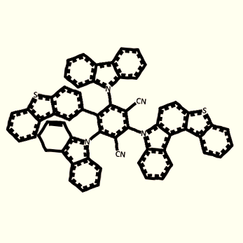 N#Cc1c(-n2c3c(c4ccccc42)CCC=C3)c(-c2ccc3sc4ccccc4c3c2)c(-n2c3ccccc3c3ccccc32)c(C#N)c1-n1c2ccccc2c2c3c(ccc21)sc1ccccc13